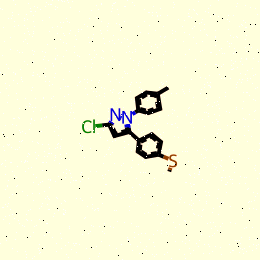 CSc1ccc(-c2cc(Cl)nn2-c2ccc(C)cc2)cc1